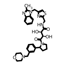 Cc1nc2ccccc2n1Cc1csc(CNC(=O)[C@H](O)[C@@H](O)C(=O)N2CCCC2c2cccc(CN3CCOCC3)c2)n1